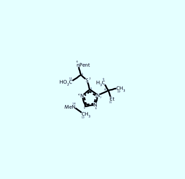 CCCCCC(Sc1ncnn1C(C)(C)CC)C(=O)O.CNC